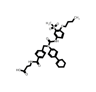 CCCCOc1ccc(NC(=O)N(Cc2ccc(C(=O)NCCC(=O)O)cc2)c2ccc(C3=CCCCC3)cc2)cc1S(C)(=O)=O